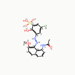 CC(=O)Nc1cccc2ccc(O)c(N=Nc3cc(Cl)cc(S(=O)(=O)O)c3O)c12.[Na]